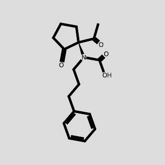 CC(=O)[C@@]1(N(CCCc2ccccc2)C(=O)O)CCCC1=O